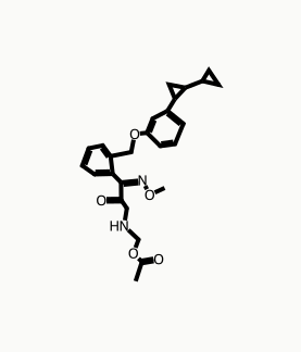 CON=C(C(=O)CNCOC(C)=O)c1ccccc1COc1cccc(C2CC2C2CC2)c1